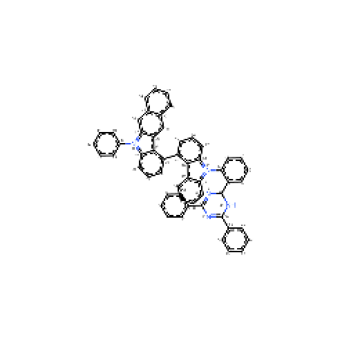 c1ccc(C2=NC(c3ccccc3-n3c4ccccc4c4c(-c5cccc6c5c5cc7ccccc7cc5n6-c5ccccc5)cccc43)NC(c3ccccc3)=N2)cc1